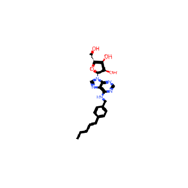 CCCCCc1ccc(CNc2ncnc3c2ncn3[C@@H]2O[C@H](CO)[C@@H](O)[C@H]2O)cc1